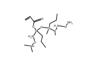 C=CC(=O)O[Si](CCC)(O[Si](C)(CCC)N(C)[SiH2]O[SiH3])[SiH2]O[SiH](C)C